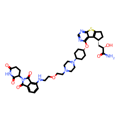 NC(=O)[C@@H](O)C[C@H]1CCc2sc3ncnc(O[C@H]4CC[C@H](N5CCN(CCOCCNc6cccc7c6C(=O)N(C6CCC(=O)NC6=O)C7=O)CC5)CC4)c3c21